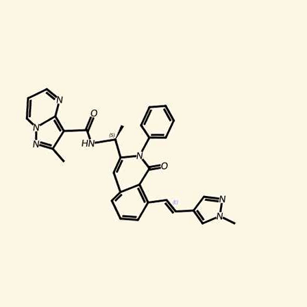 Cc1nn2cccnc2c1C(=O)N[C@@H](C)c1cc2cccc(/C=C/c3cnn(C)c3)c2c(=O)n1-c1ccccc1